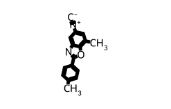 [C-]#[N+]c1cc(C)c2oc(-c3ccc(C)cc3)nc2c1